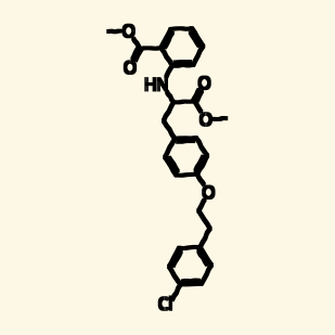 COC(=O)c1ccccc1NC(Cc1ccc(OCCc2ccc(Cl)cc2)cc1)C(=O)OC